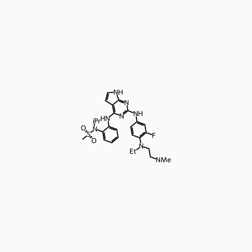 CCN(CCNC)c1ccc(Nc2nc(Nc3ccccc3N(C(C)C)S(C)(=O)=O)c3cc[nH]c3n2)cc1F